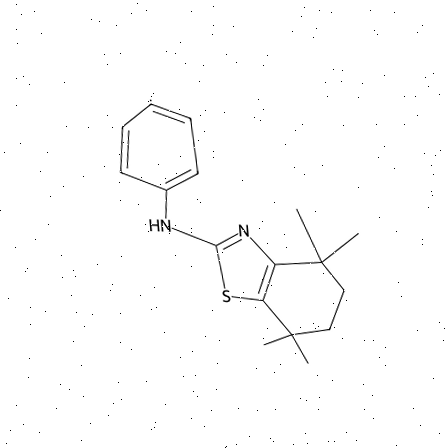 CC1(C)CCC(C)(C)c2sc(Nc3cc[c]cc3)nc21